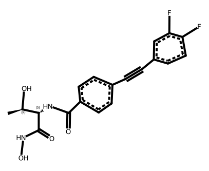 C[C@@H](O)[C@H](NC(=O)c1ccc(C#Cc2ccc(F)c(F)c2)cc1)C(=O)NO